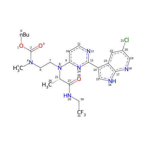 CCCCOC(=O)N(C)CCN(c1ccnc(-c2c[nH]c3ncc(Cl)cc23)n1)[C@@H](C)C(=O)NCC(F)(F)F